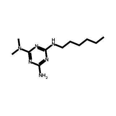 CCCCCCNc1nc(N)nc(N(C)C)n1